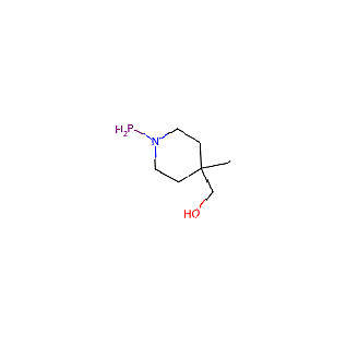 CC1(CO)CCN(P)CC1